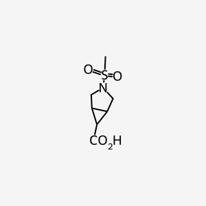 CS(=O)(=O)N1CC2C(C1)C2C(=O)O